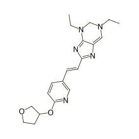 CCN1C=C2N=C(C=Cc3ccc(OC4CCOC4)nc3)N=C2N(CC)C1